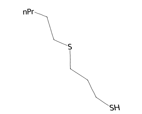 CCCCCSCCCS